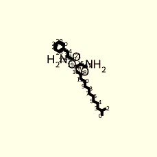 CC(C)CCCCCCCCCCC[C@H](CC(N)=O)OC(=O)[C@@H](N)Cc1ccccc1